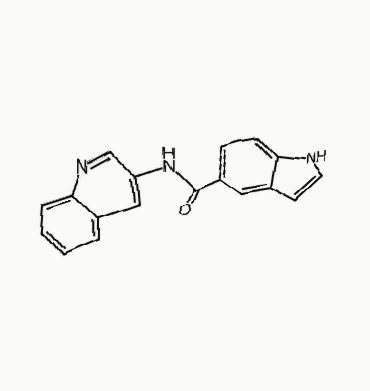 O=C(Nc1cnc2ccccc2c1)c1ccc2[nH]ccc2c1